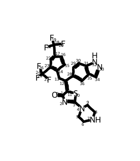 O=C1N=C(N2CCNCC2)SC1=C(Cc1ccc(C(F)(F)F)cc1C(F)(F)F)c1ccc2[nH]ncc2c1